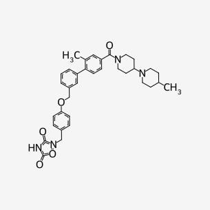 Cc1cc(C(=O)N2CCC(N3CCC(C)CC3)CC2)ccc1-c1cccc(COc2ccc(Cn3oc(=O)[nH]c3=O)cc2)c1